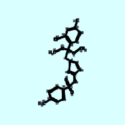 COC(Cn1cnc(OS(=O)(=O)c2ccc(C)cc2)n1)(OC)c1ccc(Cl)cc1Cl